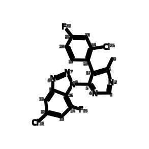 Cc1ncnc(-n2nnc3cc(Cl)cc(F)c32)c1-c1ccc(F)cc1Cl